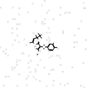 CNC1=C(S(=O)(=O)c2ccc(F)c(Cl)c2)C2=NC(C)(C(C)(C)N)C=C(C)N2N1